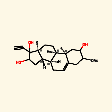 C#CC1(O)C(O)C[C@H]2[C@@H]3CC=C4CC(OC(C)=O)C(O)C[C@]4(C)[C@@H]3CC[C@@]21C